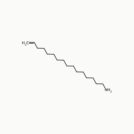 C=CCCCCCCCCCCCCCCN